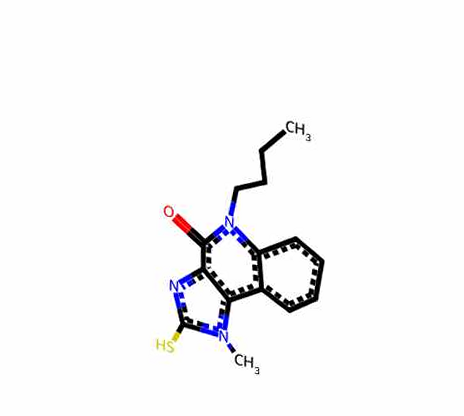 CCCCn1c(=O)c2nc(S)n(C)c2c2ccccc21